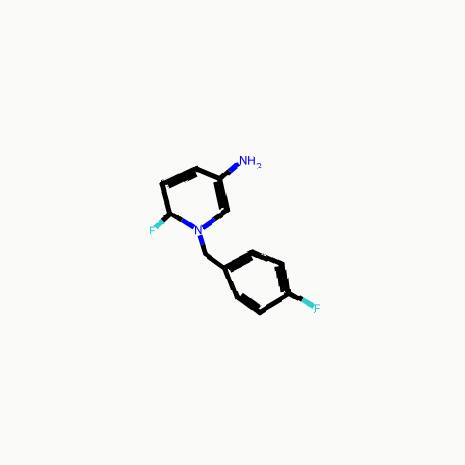 NC1=CN(Cc2ccc(F)cc2)C(F)C=C1